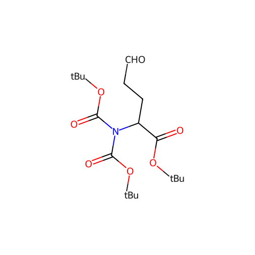 CC(C)(C)OC(=O)C(CCC=O)N(C(=O)OC(C)(C)C)C(=O)OC(C)(C)C